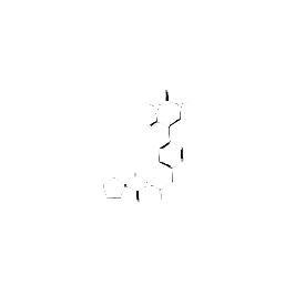 CCCC1(C(=O)N[C@@H](Cc2ccc(-c3cn(C)c(=O)n(C)c3=O)cc2)C(=O)O)CCCC1